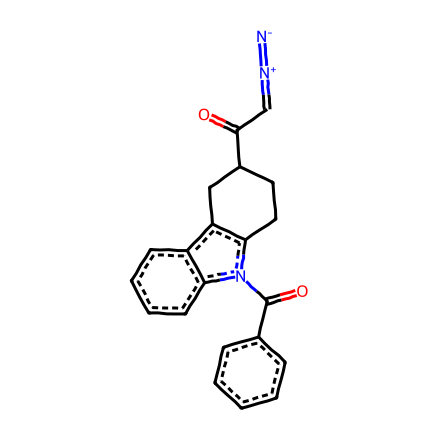 [N-]=[N+]=CC(=O)C1CCc2c(c3ccccc3n2C(=O)c2ccccc2)C1